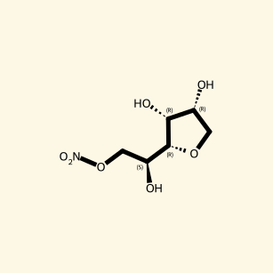 O=[N+]([O-])OC[C@H](O)[C@H]1OC[C@@H](O)[C@H]1O